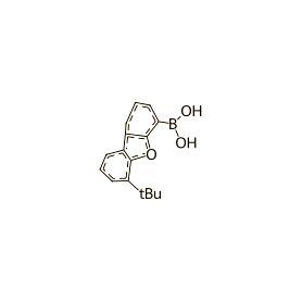 CC(C)(C)c1cccc2c1oc1c(B(O)O)cccc12